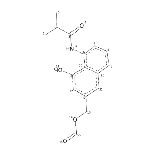 CC(C)C(=O)Nc1cccc2cc(COC=O)cc(O)c12